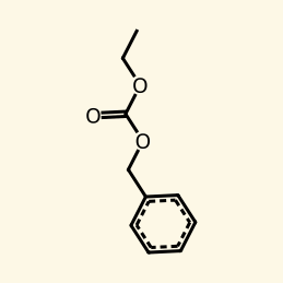 CCOC(=O)OCc1ccccc1